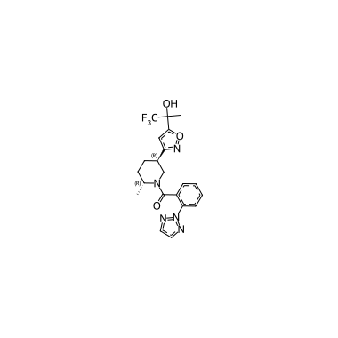 C[C@@H]1CC[C@@H](c2cc(C(C)(O)C(F)(F)F)on2)CN1C(=O)c1ccccc1-n1nccn1